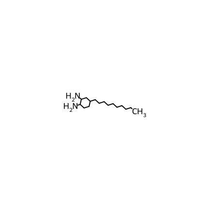 CCCCCCCCCCC1CCC(N)C(N)C1